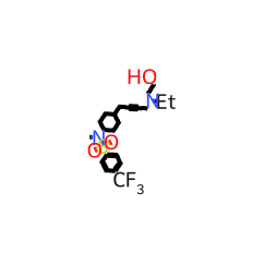 CCN(CC#CCC1CCC(N(C)S(=O)(=O)c2ccc(C(F)(F)F)cc2)CC1)CCO